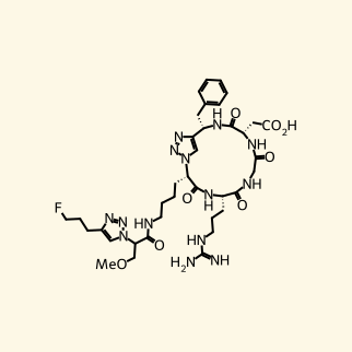 COCC(C(=O)NCCCC[C@H]1C(=O)N[C@@H](CCCNC(=N)N)C(=O)NCC(=O)N[C@@H](CC(=O)O)C(=O)N[C@@H](Cc2ccccc2)c2cn1nn2)n1cc(CCCF)nn1